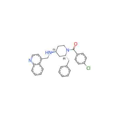 O=C(c1ccc(Cl)cc1)N1CC[C@H](NCc2ccnc3ccccc23)C[C@H]1Cc1ccccc1